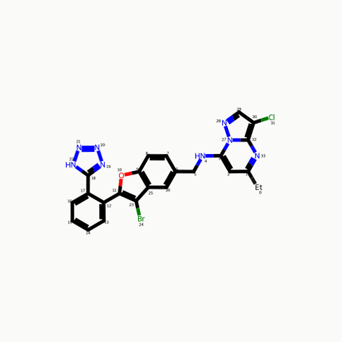 CCc1cc(NCc2ccc3oc(-c4ccccc4-c4nnn[nH]4)c(Br)c3c2)n2ncc(Cl)c2n1